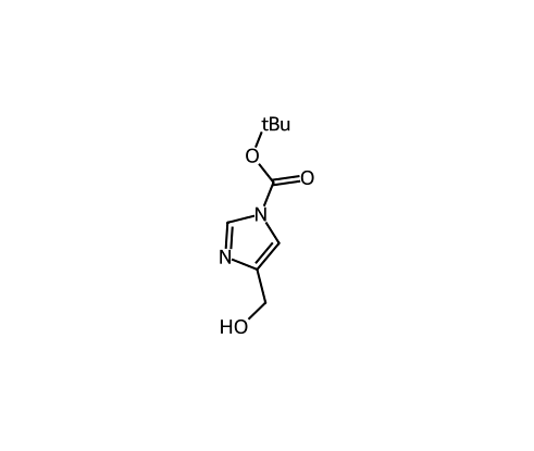 CC(C)(C)OC(=O)n1cnc(CO)c1